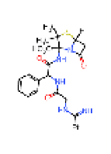 CCC(=N)NCC(=O)NC(C(=O)N[C@@]1(C(=O)O)N2C(=O)C[C@H]2SC1(C)C)c1ccccc1